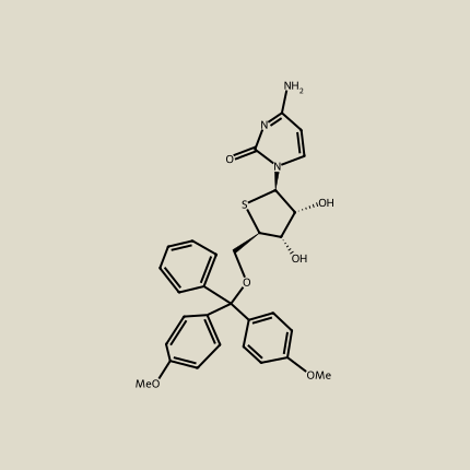 COc1ccc(C(OC[C@H]2S[C@@H](n3ccc(N)nc3=O)[C@H](O)[C@@H]2O)(c2ccccc2)c2ccc(OC)cc2)cc1